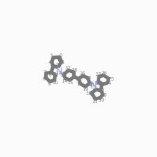 C1=CC2C(CC1)C1CCCCC1N2C1CCC(C2CCC(N3C4=C(CCCC4)C4CCCCC43)CC2)CC1